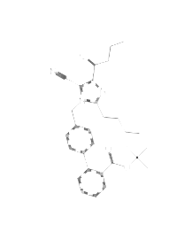 CCCCc1nc(C(=O)CCC)c(C#N)n1Cc1ccc(-c2ccccc2C(=O)OC(C)(C)C)cc1